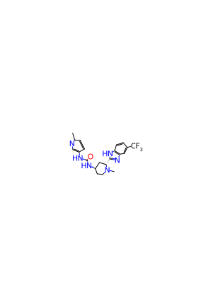 Cc1ccc(NC(=O)N[C@@H]2CCN(C)[C@@H](c3nc4cc(C(F)(F)F)ccc4[nH]3)C2)cn1